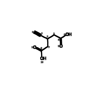 C#CC(CC(=O)O)CC(=O)O